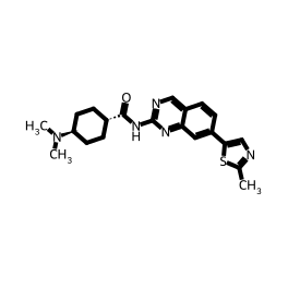 Cc1ncc(-c2ccc3cnc(NC(=O)[C@H]4CC[C@H](N(C)C)CC4)nc3c2)s1